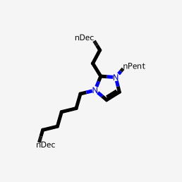 CCCCCCCCCCCCCCCN1C=CN(CCCCC)C1CCCCCCCCCCCC